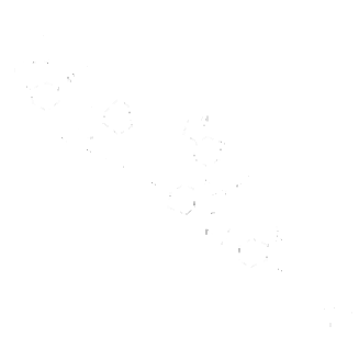 COc1cc(CN2CCN(C3CC4(CCN(c5ccc(C(=O)NS(=O)(=O)c6ccc(NC[C@H]7CC[C@](C)(O)CC7)c([N+](=O)[O-])c6)c(N6c7cc8cc[nH]c8nc7O[C@H]7COCC[C@@H]76)c5)CC4)C3)[C@@H](c3ccccc3OC(C)C)C2)cnc1N1CCOC[C@H]1C